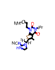 [2H]C([2H])(c1sc2c(c1C)c(=O)n(C(C)C)c(=O)n2CCOC)N1CCNC1=NC#N